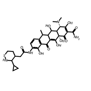 CC1c2ccc(NC(=O)CC3CCSNC3C3CC3)c(O)c2C(=O)C2=C(O)[C@]3(O)C(=O)C(C(N)=O)=C(O)[C@@H](N(C)C)C3C(O)C21